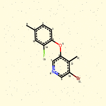 Cc1ccc(Oc2cncc(Br)c2C)c(F)c1